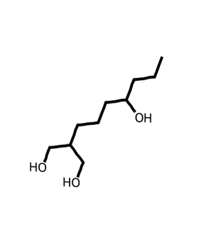 CCCC(O)CCCC(CO)CO